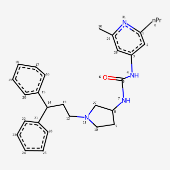 CCCc1cc(NC(=O)NC2CCN(CCC(c3ccccc3)c3ccccc3)C2)cc(C)n1